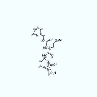 CSCC[C@H](NC(=O)OCc1ccccc1)C(=O)NC1CCC2CC1C(=O)N2C(=O)O